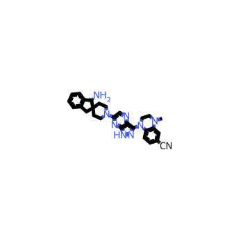 CN1CCN(c2n[nH]c3nc(N4CCC5(CC4)Cc4ccccc4[C@H]5N)cnc23)c2ccc(C#N)cc21